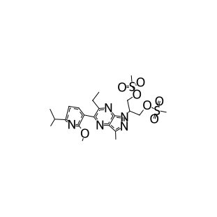 CCc1nc2c(nc1-c1ccc(C(C)C)nc1OC)c(C)nn2C(COS(C)(=O)=O)COS(C)(=O)=O